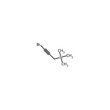 C[Si](C)(C)CC#CBr